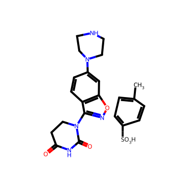 Cc1ccc(S(=O)(=O)O)cc1.O=C1CCN(c2noc3cc(N4CCNCC4)ccc23)C(=O)N1